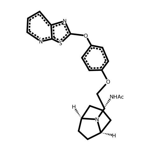 CC(=O)N[C@@H]1C[C@H]2CC[C@@H](C1)N2CCOc1ccc(Oc2nc3cccnc3s2)cc1